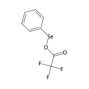 O=C(O[Se]c1ccccc1)C(F)(F)F